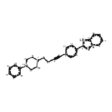 C(#Cc1ccc(-c2nc3ccccc3[nH]2)cc1)CCN1CCN(c2ccccc2)CC1